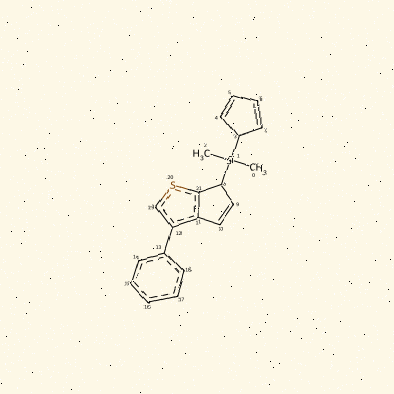 C[Si](C)(C1C=CC=C1)C1C=Cc2c(-c3ccccc3)csc21